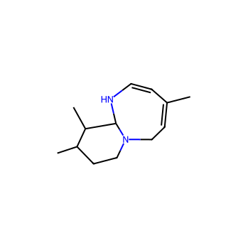 CC1=C/CN2CCC(C)C(C)C2N/C=C\1